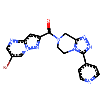 O=C(c1cc2ncc(Br)cn2n1)N1CCn2c(nnc2-c2ccncc2)C1